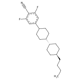 CCCC[C@H]1CC[C@H](C2CCC(c3cc(F)c(C#N)c(F)c3)CC2)CC1